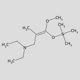 CCN(CC)C/C(C)=C(/OC)O[Si](C)(C)C